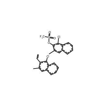 C=Cc1c(C)cc2ccccc2c1Cl.Cc1cc2ccccc2c(Cl)c1OS(=O)(=O)C(F)(F)F